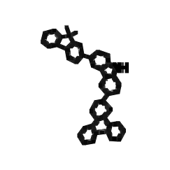 CC1(C)c2ccccc2-c2ccc(-c3ccc4[nH]c5ccc(-c6ccc7c8ccccc8c8ccccc8c7c6)cc5c4c3)cc21